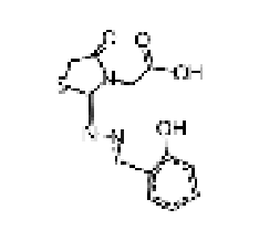 O=C(O)CN1C(=O)CSC1=NN=Cc1ccccc1O